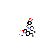 CC(C)c1ccc2c(c1)c(N(Cc1ccc3c(c1)OCO3)C1CCNCC1)cc(=O)n2C